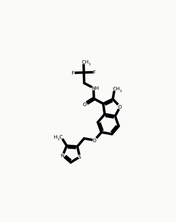 Cc1ncsc1COc1ccc2oc(C)c(C(=O)NCC(C)(F)F)c2c1